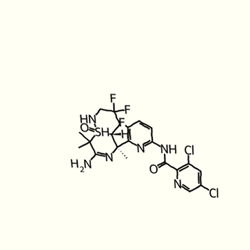 CC1(C)C(N)=N[C@](C)(c2nc(NC(=O)c3ncc(Cl)cc3Cl)ccc2F)[C@H]2CC(F)(F)CN[SH]21=O